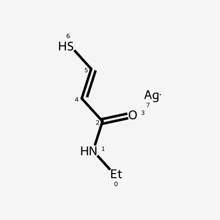 CCNC(=O)C=CS.[Ag]